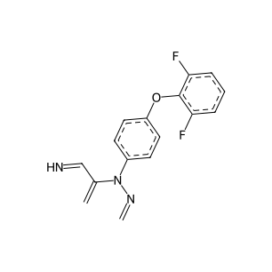 C=NN(C(=C)C=N)c1ccc(Oc2c(F)cccc2F)cc1